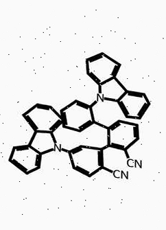 N#Cc1ccc(-n2c3ccccc3c3ccccc32)cc1-c1c(C#N)cccc1-c1ccccc1-n1c2ccccc2c2ccccc21